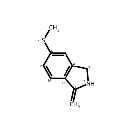 C=C1NCc2cc(SC)ccc21